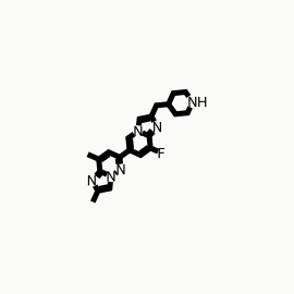 Cc1cn2nc(-c3cc(F)c4nc(CC5CCNCC5)cn4c3)cc(C)c2n1